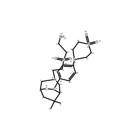 CC1(C)CC2CN(CCS(=O)(=O)CCN)CC1N(c1ccc(N3CCS(=O)(=O)CC3)cc1)C2